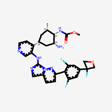 COC(=O)N[C@@H]1[C@H](N)C[C@H](c2ccncc2Nc2ncc3ccc(-c4c(F)cc(C5(F)COC5)cc4F)nn23)C[C@@H]1C